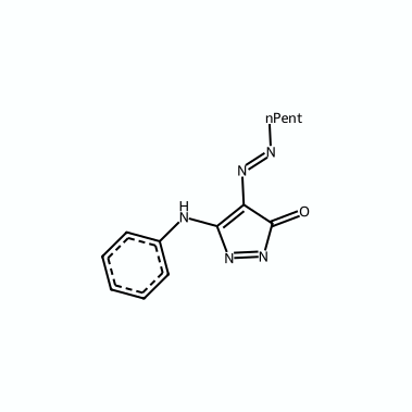 CCCCCN=NC1=C(Nc2ccccc2)N=NC1=O